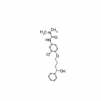 CN(C)C(=O)Nc1ccc(OCCCC(O)c2ccccc2)c(Cl)c1